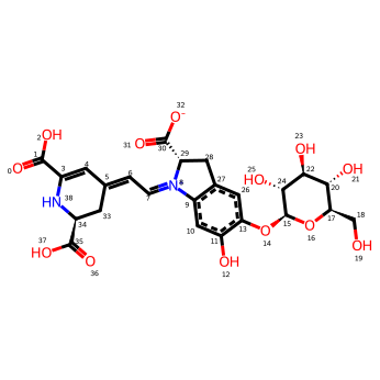 O=C(O)C1=CC(=CC=[N+]2c3cc(O)c(O[C@@H]4O[C@H](CO)[C@@H](O)[C@H](O)[C@H]4O)cc3C[C@H]2C(=O)[O-])C[C@@H](C(=O)O)N1